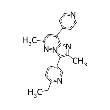 CCc1ccc(-c2c(C)nc3c(-c4ccncc4)cc(C)nn23)cn1